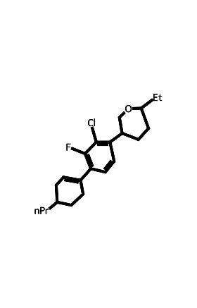 CCCC1CC=C(c2ccc(C3CCC(CC)OC3)c(Cl)c2F)CC1